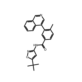 Cc1ccc(C(=O)Nc2cc(C(C)(C)C)on2)cc1-c1cncc2ccccc12